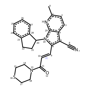 Cc1ccc2c(C#N)c(/C=C/C(=O)N3CCSCC3)n(C3CCc4ccccc43)c2n1